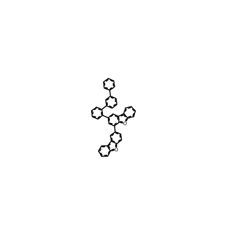 c1ccc(-c2cccc(-c3ccccc3-c3cc(-c4ccc5oc6ccccc6c5c4)c4oc5ccccc5c4c3)c2)cc1